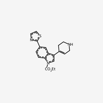 CCOC(=O)n1cc(C2=CCNCC2)c2cc(-c3nccs3)ccc21